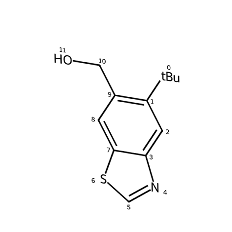 CC(C)(C)c1cc2ncsc2cc1CO